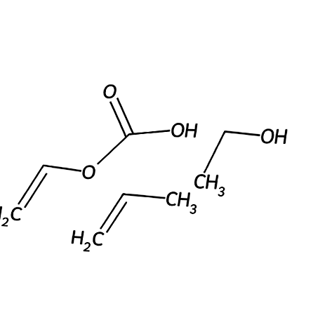 C=CC.C=COC(=O)O.CCO